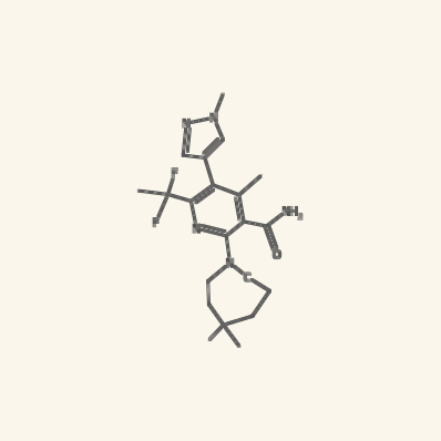 Cc1c(C(N)=O)c(N2CCCC(C)(C)CC2)nc(C(C)(F)F)c1-c1cnn(C)c1